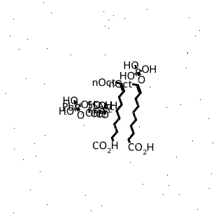 CC(=O)[O-].CC(=O)[O-].CCCCCCCC/C=C\CCCCCCCC(=O)O.CCCCCCCC/C=C\CCCCCCCC(=O)O.O=P(O)(O)O.O=P(O)(O)O.O=S(=O)(O)O.O=S(=O)(O)O.[Pb+2]